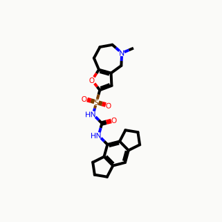 CN1CCCc2oc(S(=O)(=O)NC(=O)Nc3c4c(cc5c3CCC5)CCC4)cc2C1